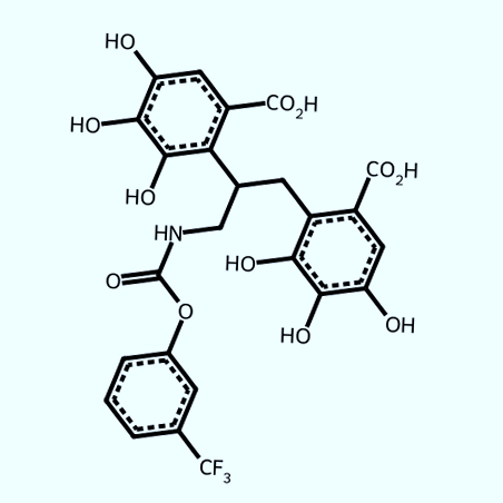 O=C(NCC(Cc1c(C(=O)O)cc(O)c(O)c1O)c1c(C(=O)O)cc(O)c(O)c1O)Oc1cccc(C(F)(F)F)c1